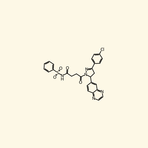 O=C(CCC(=O)N1N=C(c2ccc(Cl)cc2)CC1c1ccc2nccnc2c1)NS(=O)(=O)c1ccccc1